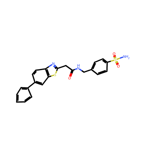 NS(=O)(=O)c1ccc(CNC(=O)Cc2nc3ccc(-c4ccccc4)cc3s2)cc1